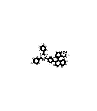 C/C=C\c1c(N)cccc1-c1c(-c2ccc(-c3nc(-c4ccccc4)nc(-c4ccccc4)n3)cc2)ccc2ccccc12